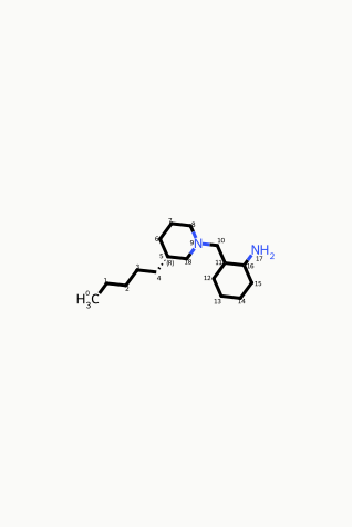 CCCCC[C@@H]1CCCN(CC2CCCCC2N)C1